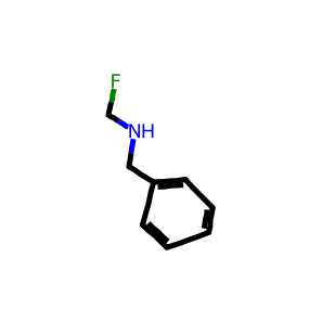 FCNCc1ccccc1